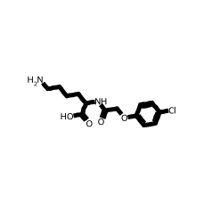 NCCCCC(NC(=O)COc1ccc(Cl)cc1)C(=O)O